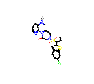 C=CC(c1cc2ccc(Cl)cc2s1)S(=O)(=O)N1CCN(c2ncccc2N(C)C(C)=O)C(=O)C1